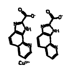 O=C([O-])c1nc2ccc3cccnc3c2[nH]1.O=C([O-])c1nc2ccc3cccnc3c2[nH]1.[Cu+2]